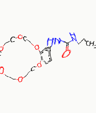 C=CCNC(=O)Nc1ccc2c(c1)OCCOCCOCCOCCOCCO2